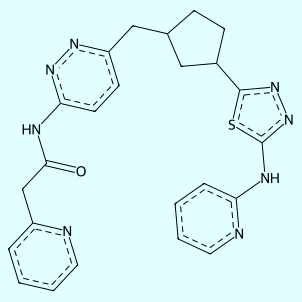 O=C(Cc1ccccn1)Nc1ccc(CC2CCC(c3nnc(Nc4ccccn4)s3)C2)nn1